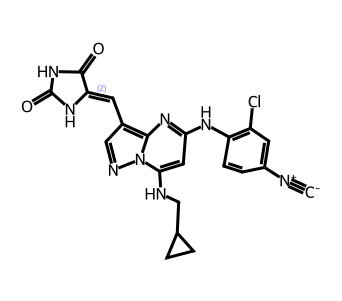 [C-]#[N+]c1ccc(Nc2cc(NCC3CC3)n3ncc(/C=C4\NC(=O)NC4=O)c3n2)c(Cl)c1